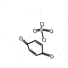 O=C1C=CC(=O)C=C1.O=S(=O)(Cl)Cl